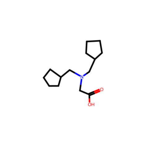 O=C(O)CN(CC1CCCC1)CC1CCCC1